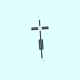 NC#CS(N)(=O)=O